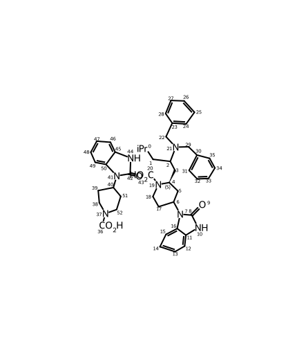 CC(C)CC(C[C@H]1CC(n2c(=O)[nH]c3ccccc32)CCN1C(=O)O)N(Cc1ccccc1)Cc1ccccc1.O=C(O)N1CCC(n2c(=O)[nH]c3ccccc32)CC1